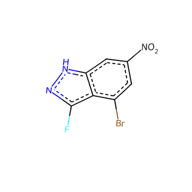 O=[N+]([O-])c1cc(Br)c2c(F)n[nH]c2c1